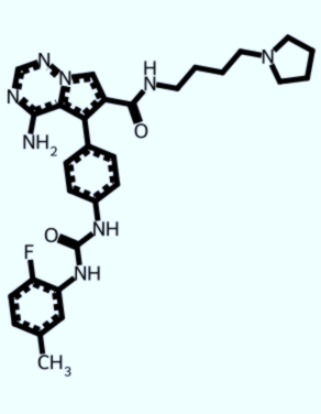 Cc1ccc(F)c(NC(=O)Nc2ccc(-c3c(C(=O)NCCCCN4CCCC4)cn4ncnc(N)c34)cc2)c1